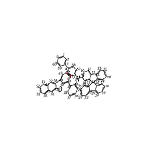 c1ccc(-c2ccc(N(c3ccc4c(c3)C3(c5ccccc5-c5ccccc53)c3ccccc3-4)c3ccccc3-c3cccc4c3oc3cc5ccccc5cc34)cc2)cc1